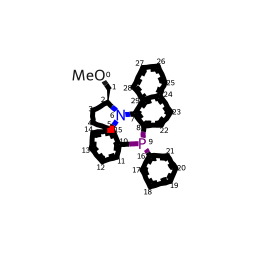 COC[C@@H]1CCCN1c1c(P(c2ccccc2)c2ccccc2)ccc2ccccc12